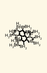 BBB(B)B(B(B)B)c1c(C)c(C)c(B(B)B(B)B)c2c(B(B)BB)c(B(B)B)c(BB)c(B)c12